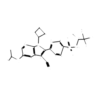 CC(C)Oc1cnc2c(c1)c(C#N)c(-c1ccc(S(=O)(=O)N[C@@H](C)C(F)(F)F)cn1)n2C1CCC1